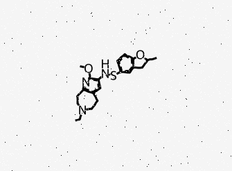 CCN1CCc2cc(NSc3ccc4c(c3)CC(C)O4)c(OC)nc2CC1